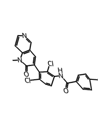 Cn1c(=O)c(-c2c(Cl)ccc(NC(=O)c3ccc(Cl)cc3)c2Cl)cc2cnccc21